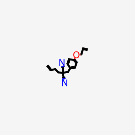 C=CCCC(C#N)(C#N)Cc1ccc(OCC=C)cc1